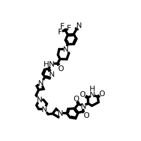 N#Cc1ccc(N2CCC(C(=O)Nc3ccc(N4CC(CN5CCN(CC6CN(c7ccc8c(c7)C(=O)N(C7CCC(=O)NC7=O)C8=O)C6)CC5)C4)cn3)CC2)cc1C(F)(F)F